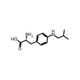 CC(C)CNc1ccc(C[C@H](N)C(=O)O)cc1